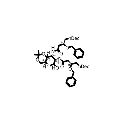 CCCCCCCCCCC[C@H](CC(=O)N[C@H]1[C@@H]2OC(C)(C)OC[C@H]2OC(O)[C@@H]1NC(=O)C[C@@H](CCCCCCCCCCC)OCc1ccccc1)OCc1ccccc1